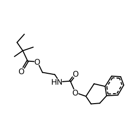 CCC(C)(C)C(=O)OCCNC(=O)OC1CCc2ccccc2C1